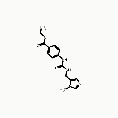 CCOC(=O)c1ccc(NC(=O)NCc2cncn2C)cc1